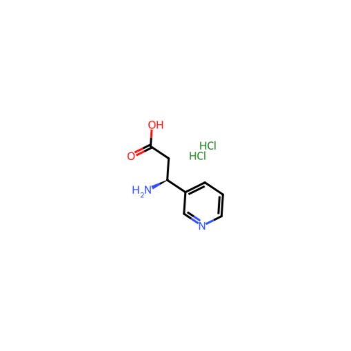 Cl.Cl.N[C@@H](CC(=O)O)c1cccnc1